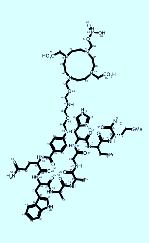 CSCC[C@H](NC(=O)C(CC(C)C)NC(=O)C(Cc1c[nH]cn1)NC(=O)CNC(=O)C(NC(=O)C(C)NC(=O)C(Cc1c[nH]c2ccccc12)NC(=O)C(CCC(N)=O)NC(=O)c1ccc(NCOCNCOCN2CCN(CC(=O)O)CCN(CO[PH](=O)O)CCN(CC(=O)O)CC2)cc1)C(C)C)C(N)=O